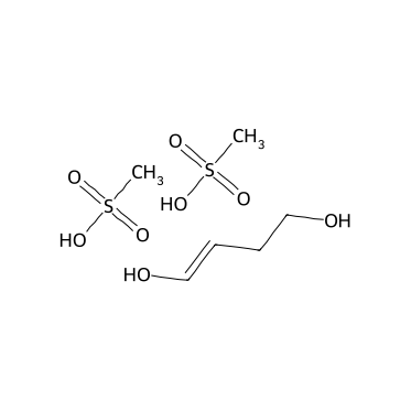 CS(=O)(=O)O.CS(=O)(=O)O.OC=CCCO